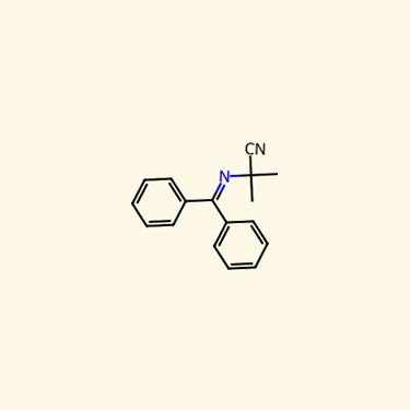 CC(C)(C#N)N=C(c1ccccc1)c1ccccc1